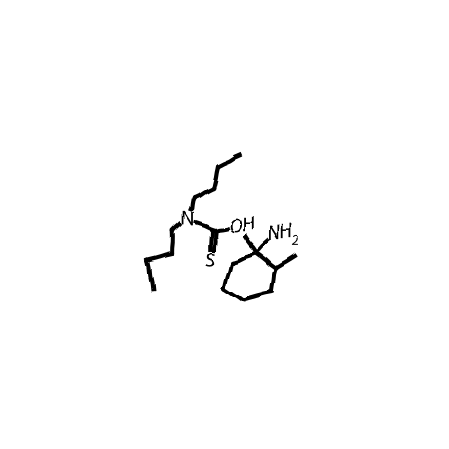 CC1CCCCC1(C)N.CCCCN(CCCC)C(O)=S